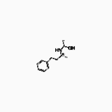 [CH2]C(O)N[C@H](C)CCc1ccccc1